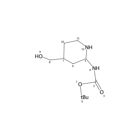 CC(C)(C)OC(=O)NC1CC(CO)CCN1